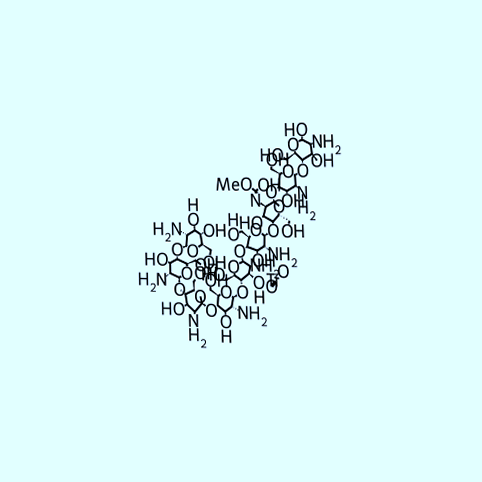 COC(O)=N[C@H]1[C@H](O[C@H]2[C@H](O)[C@@H](N)[C@H](O[C@H]3[C@H](O)[C@@H](N)[C@H](O)O[C@@H]3CO)O[C@@H]2CO)O[C@H](CO)[C@@H](O[C@@H]2O[C@H](CO)[C@@H](O[C@@H]3O[C@H](CO)[C@@H](O[C@@H]4O[C@H](CO)[C@@H](O[C@@H]5O[C@H](CO)[C@@H](O[C@@H]6O[C@H](CO)[C@@H](O[C@@H]7O[C@H](CO)[C@@H](O)[C@H](O)[C@H]7N)[C@H](O)[C@H]6N)[C@H](O)[C@H]5N)[C@H](O)[C@H]4N)[C@H](O)[C@H]3N)[C@H](O)[C@H]2N)[C@@H]1O.[O]=[Ti]=[O]